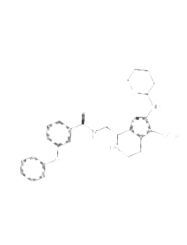 O=C(NC[C@@H]1NCCc2c1sc(NC1CCCCO1)c2C(=O)O)c1cccc(Oc2ccccc2)c1